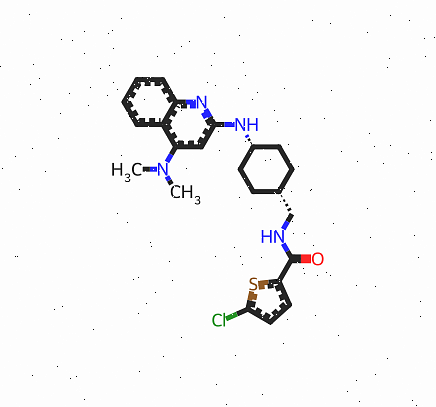 CN(C)c1cc(N[C@H]2CC[C@@H](CNC(=O)c3ccc(Cl)s3)CC2)nc2ccccc12